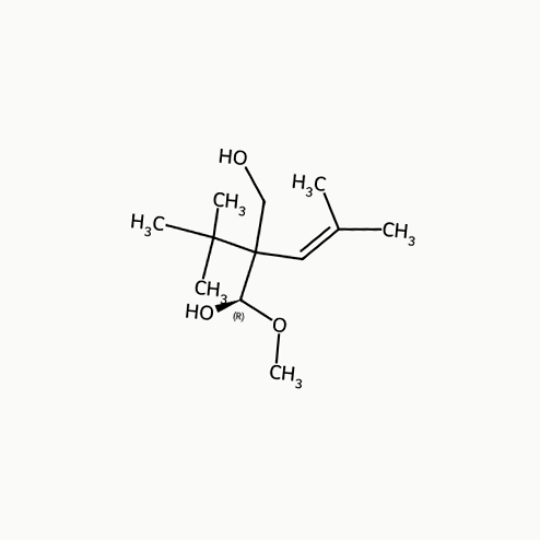 CO[C@@H](O)C(C=C(C)C)(CO)C(C)(C)C